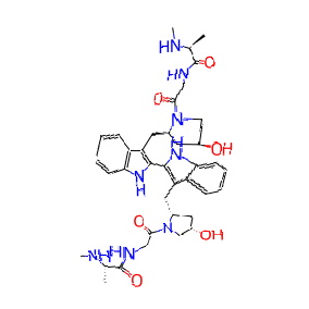 C=Cc1[nH]c(-c2[nH]c3ccccc3c2C[C@@H]2C[C@H](O)CN2C(=O)CNC(=O)[C@H](C)NC)c(C[C@@H]2C[C@H](O)CN2C(=O)CNC(=O)[C@H](C)NC)c1/C=C\C